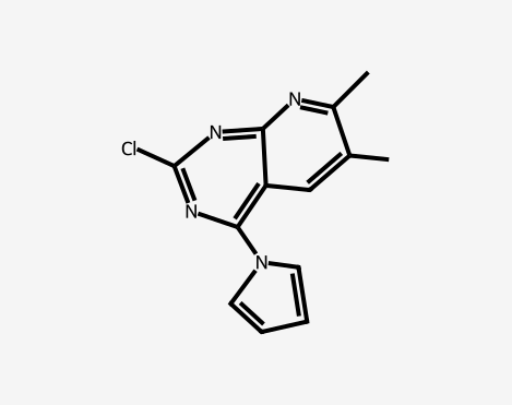 Cc1cc2c(-n3cccc3)nc(Cl)nc2nc1C